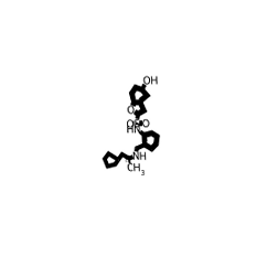 C[C@@H](CC1CCCC1)NCc1ccccc1NS(=O)(=O)c1cc2cc(O)ccc2o1